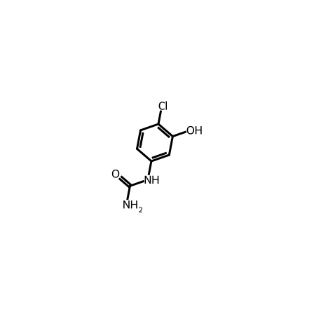 NC(=O)Nc1ccc(Cl)c(O)c1